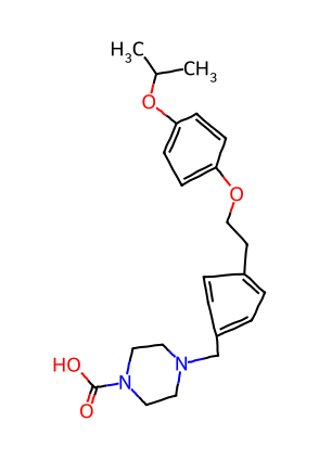 CC(C)Oc1ccc(OCCc2ccc(CN3CCN(C(=O)O)CC3)cc2)cc1